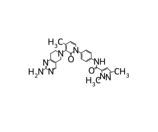 Cc1cc(C(=O)Nc2ccc(-n3ccc(C)c(N4CCc5nc(N)ncc5C4)c3=O)cc2)n(C)n1